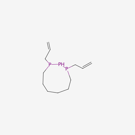 C=CCP1CCCCCCP(CC=C)P1